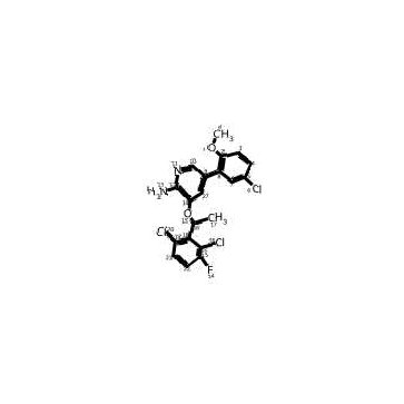 COc1ccc(Cl)cc1-c1cnc(N)c(OC(C)c2c(Cl)ccc(F)c2Cl)c1